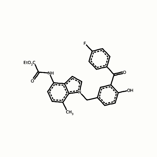 CCOC(=O)C(=O)Nc1ccc(C)c2c1ccn2Cc1ccc(O)c(C(=O)c2ccc(F)cc2)c1